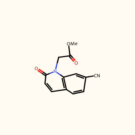 COC(=O)Cn1c(=O)ccc2ccc(C#N)cc21